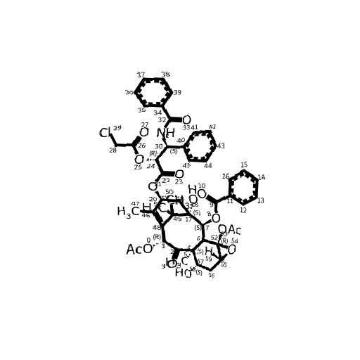 CC(=O)O[C@H]1C(=O)[C@@]2(C)C([C@H](OC(=O)c3ccccc3)[C@]3(O)C[C@H](OC(=O)[C@H](OC(=O)CCl)[C@@H](NC(=O)c4ccccc4)c4ccccc4)C(C)=C1C3(C)C)[C@]1(OC(C)=O)O[C@@H]1C[C@@H]2O